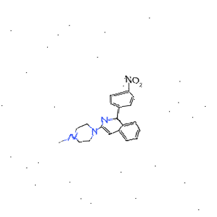 CN1CCN(c2cc3ccccc3c(-c3ccc([N+](=O)[O-])cc3)n2)CC1